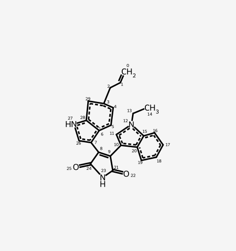 C=CCc1ccc2c(C3=C(c4cn(CC)c5ccccc45)C(=O)NC3=O)c[nH]c2c1